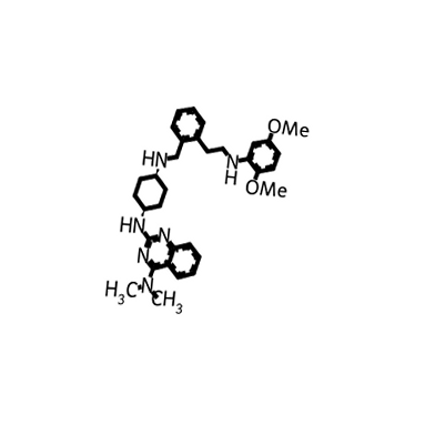 COc1ccc(OC)c(NCCc2ccccc2CN[C@H]2CC[C@@H](Nc3nc(N(C)C)c4ccccc4n3)CC2)c1